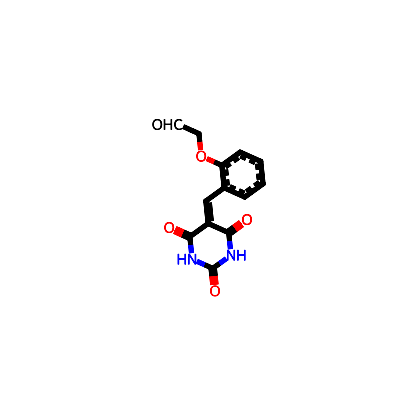 O=CCOc1ccccc1C=C1C(=O)NC(=O)NC1=O